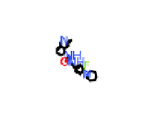 Cc1cc2c(NC(=O)NCc3ccc(N4CCCCCC4)c(F)c3)cccc2cn1